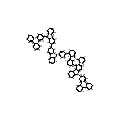 c1ccc(-n2c3cccc(-c4ccc(-n5c6ccccc6c6ccc(-c7ccc8c9ccccc9n(-c9ccc%10c%11ccccc%11c%11ccccc%11c%10c9)c8c7)cc65)cc4)c3c3cccc(-c4cccc5c4c4ccccc4n5-c4ccc5c6ccccc6c6ccccc6c5c4)c32)cc1